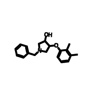 Cc1cccc(OC2CN(Cc3ccccc3)CC2O)c1C